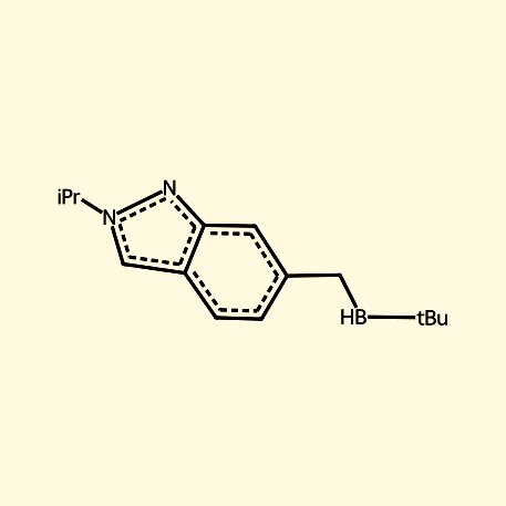 CC(C)n1cc2ccc(CBC(C)(C)C)cc2n1